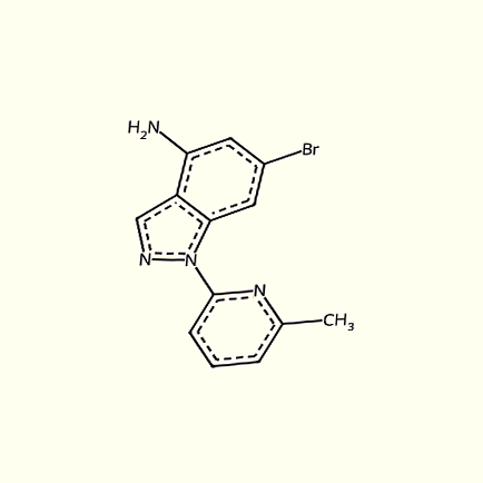 Cc1cccc(-n2ncc3c(N)cc(Br)cc32)n1